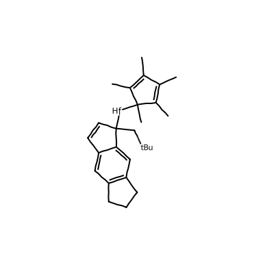 CC1=C(C)[C](C)([Hf][C]2(CC(C)(C)C)C=Cc3cc4c(cc32)CCC4)C(C)=C1C